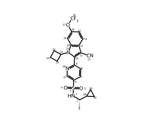 C[C@H](NS(=O)(=O)c1ccc(-c2c(C#N)c3ccc(OC(F)(F)F)cc3n2C2CCC2)nc1)C1CC1